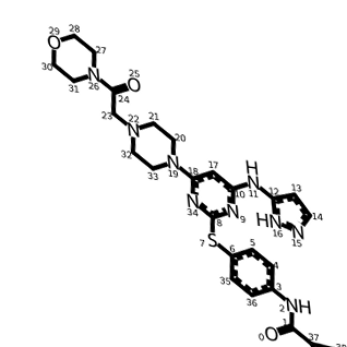 O=C(Nc1ccc(Sc2nc(Nc3ccn[nH]3)cc(N3CCN(CC(=O)N4CCOCC4)CC3)n2)cc1)C1CC1